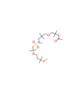 COC(C)(C)CCOC(C)(C)CS(=O)(=O)N(C)CC(C)(C)COCC(C)(C)CC(C)=O